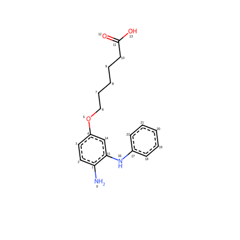 Nc1ccc(OCCCCCC(=O)O)cc1Nc1ccccc1